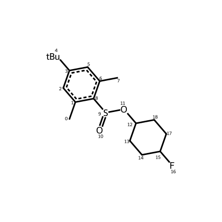 Cc1cc(C(C)(C)C)cc(C)c1S(=O)OC1CCC(F)CC1